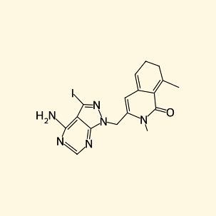 CC1=c2c(cc(Cn3nc(I)c4c(N)ncnc43)n(C)c2=O)=CCC1